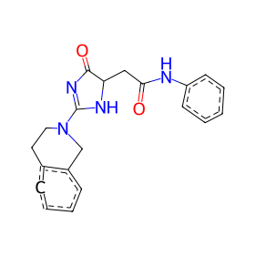 O=C(CC1NC(N2CCc3ccccc3C2)=NC1=O)Nc1ccccc1